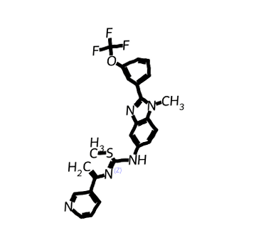 C=C(/N=C(/Nc1ccc2c(c1)nc(-c1cccc(OC(F)(F)F)c1)n2C)SC)c1cccnc1